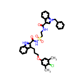 Cc1cc(OCCCc2c(C(=O)NS(=O)(=O)CCNC(=O)c3cn(Cc4ccccc4)c4ccccc34)[nH]c3ccccc23)cc(C)c1Cl